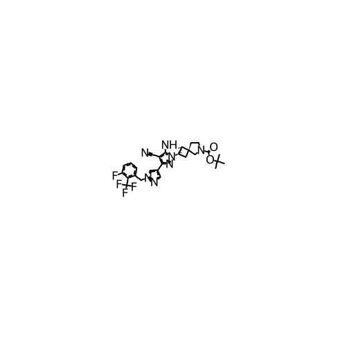 CC(C)(C)OC(=O)N1CC[C@]2(C1)C[C@H](n1nc(-c3cnn(Cc4cccc(F)c4C(F)(F)F)c3)c(C#N)c1N)C2